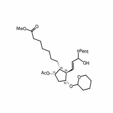 CCCCCC(O)C=C[C@@H]1[C@@H](CCCCCCC(=O)OC)[C@@H](OC(C)=O)C[C@H]1OC1CCCCO1